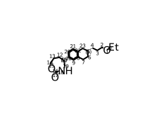 CCOCCC[C@@H]1CCc2cc([C@H]3CCCOC(=O)NC3)ccc2C1